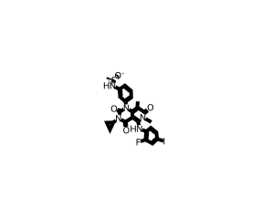 Cc1c(=O)n(C)c(Nc2ccc(I)cc2F)c2c(=O)n(C3CC3)c(=O)n(-c3cccc(N[S@@+](C)[O-])c3)c12